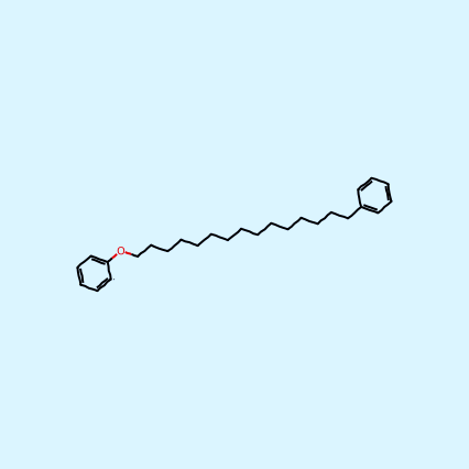 [c]1ccccc1OCCCCCCCCCCCCCCCc1ccccc1